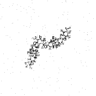 C=Cc1c(F)c(F)c(Oc2ccc(C(c3ccc(OC(C)(C)c4c(F)c(F)c(C=C)c(Oc5ccc(C(c6ccc(OC(C)(C)CC)cc6)(C(F)(F)F)C(F)(F)F)cc5)c4F)cc3)(C(F)(F)F)C(F)(F)F)cc2)c(F)c1F